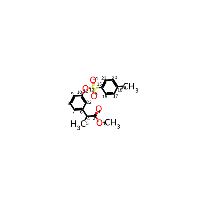 COC(=O)C(C)c1cccc(OS(=O)(=O)c2ccc(C)cc2)c1